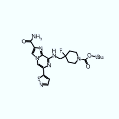 CC(C)(C)OC(=O)N1CCC(F)(CNc2nc(-c3ccns3)cn3cc(C(N)=O)nc23)CC1